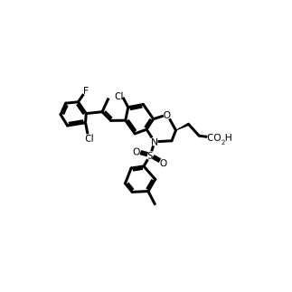 C/C(=C\c1cc2c(cc1Cl)O[C@@H](CCC(=O)O)CN2S(=O)(=O)c1cccc(C)c1)c1c(F)cccc1Cl